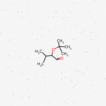 [CH2]C(C)C(C=O)OC(C)(C)C